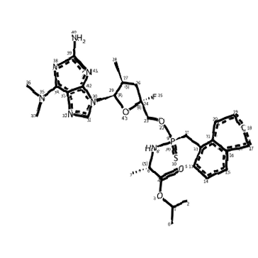 CC(C)OC(=O)[C@H](C)N[P@](=S)(Cc1cccc2ccccc12)OC[C@]1(F)C[C@H](C)[C@H](n2cnc3c(N(C)C)nc(N)nc32)O1